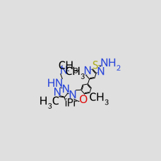 Cc1cc(-c2cnc3sc(N)nc3c2)cc2c1OCCN(c1nc(NCCN(C)C)nc(C)c1C(C)C)C2